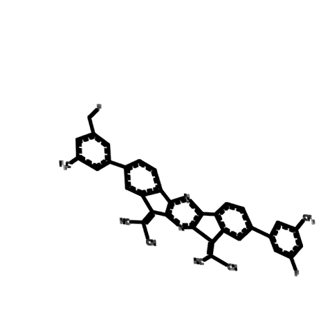 N#CC(C#N)=C1c2cc(-c3cc(F)cc(C(F)(F)F)c3)ccc2-c2nc3c(nc21)C(=C(C#N)C#N)c1cc(-c2cc(CF)cc(C(F)(F)F)c2)ccc1-3